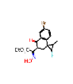 CCOC(=O)C(=NO)C1CC2(c3ccc(Br)cc3C1=O)C(C)C2F